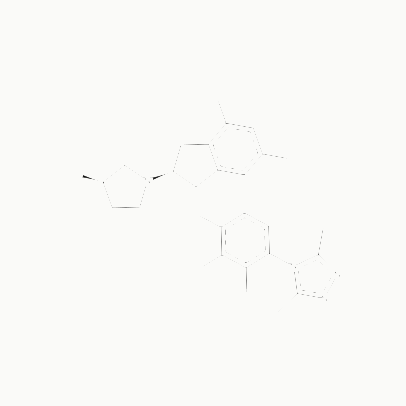 Cc1nnc(C)n1-c1ccc(O[C@H]2c3cc(Cl)cc(Cl)c3C[C@@H]2N2CC[C@@H](O)C2)c(F)c1F